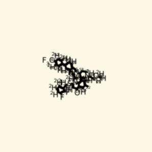 [2H]c1c([2H])c(F)c(F)c(C([2H])([2H])Sc2c([2H])c(=O)c3c([2H])c(C)c([2H])c([2H])c3n2C([2H])([2H])C(=O)N(Cc2c([2H])c([2H])c(-c3c([2H])c([2H])c(C(F)(F)F)c([2H])c3[2H])c([2H])c2[2H])C2CCN(C([2H])([2H])COC([2H])([2H])[2H])CC2)c1[2H]